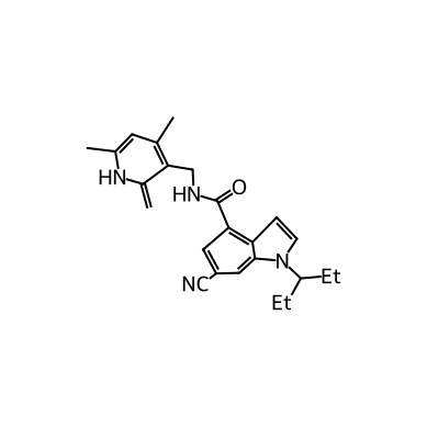 C=C1NC(C)=CC(C)=C1CNC(=O)c1cc(C#N)cc2c1ccn2C(CC)CC